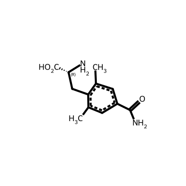 Cc1cc(C(N)=O)cc(C)c1C[C@@H](N)C(=O)O